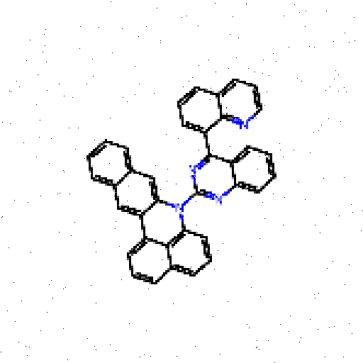 c1ccc2cc3c(cc2c1)-c1cccc2cccc(c12)N3c1nc(-c2cccc3cccnc23)c2ccccc2n1